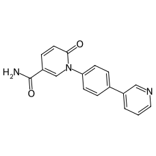 NC(=O)c1ccc(=O)n(-c2ccc(-c3cccnc3)cc2)c1